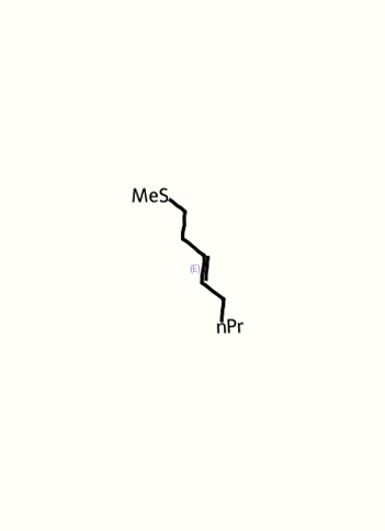 [CH2]CCC/C=C/CCSC